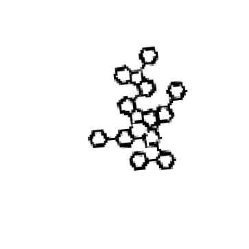 C1=CC2c3c(-c4cccc5c4c4ccccc4n5-c4cc(-c5ccccc5)ccc4-c4nc(-c5ccc(-c6ccccc6)cc5)nc(-c5ccccc5-c5ccccc5)n4)cccc3N(c3ccccc3)C2C=C1